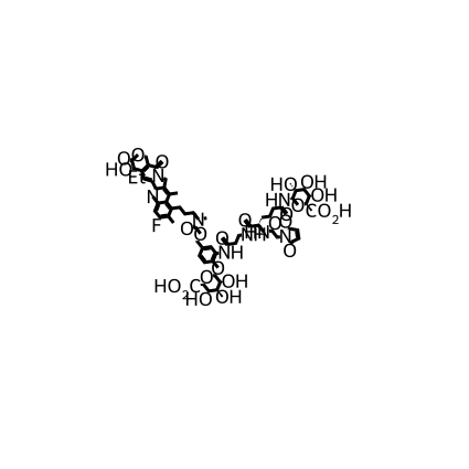 CC[C@@]1(O)C(=O)OCc2c1cc1n(c2=O)Cc2c-1nc1cc(F)c(C)c(CCCN(C)C(=O)OCc3ccc(O[C@@H]4O[C@H](C(=O)O)[C@@H](O)[C@H](O)[C@H]4O)c(NC(=O)CCNC(=O)[C@H](CCCC(=O)N[C@H]4O[C@H](C(=O)O)[C@@H](O)[C@H](O)[C@H]4O)NC(=O)CN4C(=O)C=CC4=O)c3)c1c2C